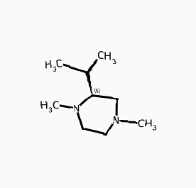 CC(C)[C@H]1CN(C)CCN1C